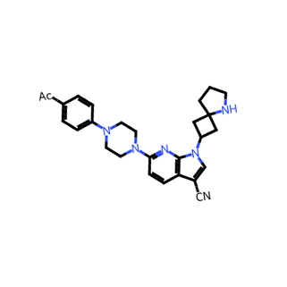 CC(=O)c1ccc(N2CCN(c3ccc4c(C#N)cn(C5CC6(CCCN6)C5)c4n3)CC2)cc1